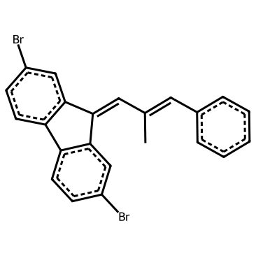 C/C(C=C1c2cc(Br)ccc2-c2ccc(Br)cc21)=C\c1ccccc1